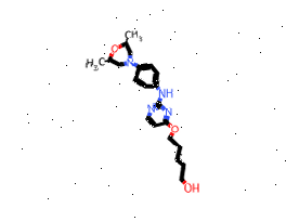 C[C@@H]1CN(c2ccc(Nc3nccc(OCCCCCO)n3)cc2)C[C@H](C)O1